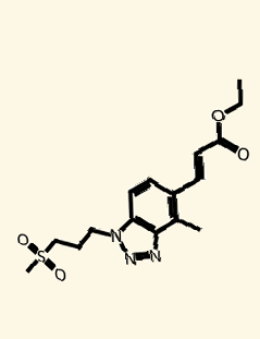 CCOC(=O)/C=C/c1ccc2c(nnn2CCCS(C)(=O)=O)c1C